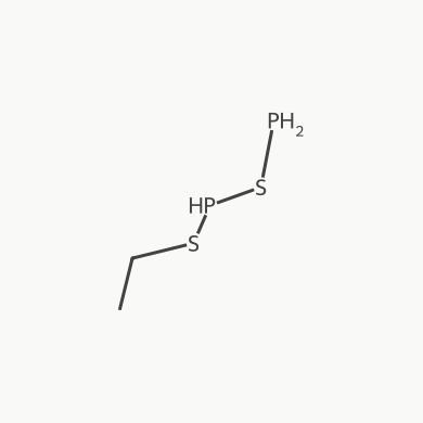 CCSPSP